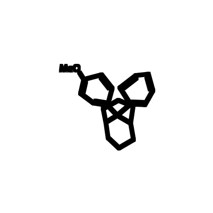 COc1ccc(C2(c3ccccc3)C3CCCC2CCC3)cc1